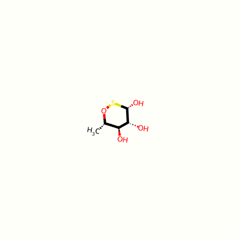 C[C@@H]1OS[C@H](O)[C@H](O)[C@H]1O